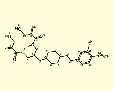 C=C(CO)C(=O)OCC(COC(=O)C(=C)CO)CC1CCC(CCc2ccc(CCCCC)c(F)c2)CC1